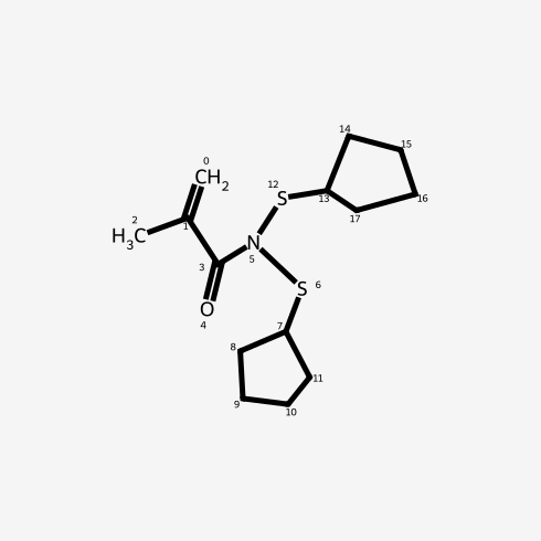 C=C(C)C(=O)N(SC1CCCC1)SC1CCCC1